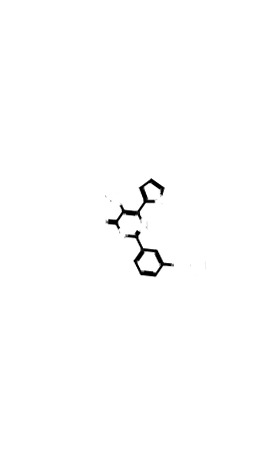 N#Cc1c(-c2cccs2)nc(-c2cccc(C(=O)O)c2)[nH]c1=O